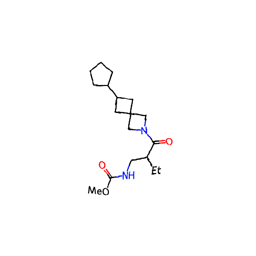 CCC(CNC(=O)OC)C(=O)N1CC2(CC(C3CCCC3)C2)C1